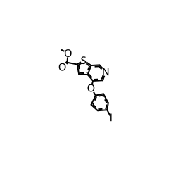 COC(=O)c1cc2c(Oc3ccc(I)cc3)cncc2s1